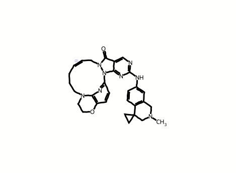 CN1Cc2cc(Nc3ncc4c(=O)n5n(c4n3)-c3ccc4c(n3)N(CCC/C=C\C5)CCO4)ccc2C2(CC2)C1